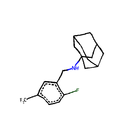 Fc1ccc(C(F)(F)F)cc1CNC12CC3CC(CC(C3)C1)C2